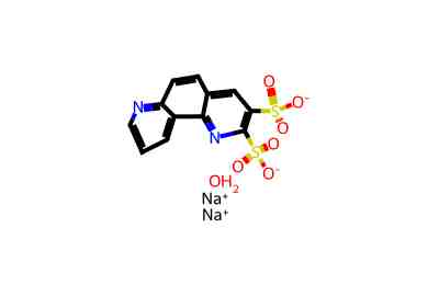 O.O=S(=O)([O-])c1cc2ccc3ncccc3c2nc1S(=O)(=O)[O-].[Na+].[Na+]